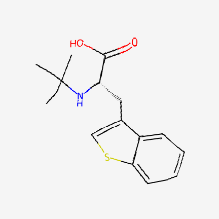 CC(C)(C)N[C@@H](Cc1csc2ccccc12)C(=O)O